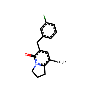 CCOC(=O)c1cc(Cc2cccc(Cl)c2)c(=O)n2c1CCC2